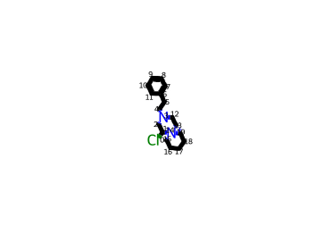 ClC1CN(CCc2ccccc2)CC[N+]12CCCCC2